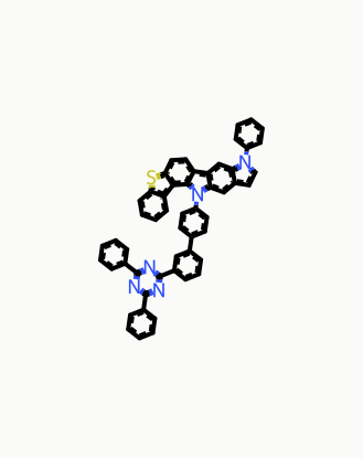 c1ccc(-c2nc(-c3ccccc3)nc(-c3cccc(-c4ccc(-n5c6cc7ccn(-c8ccccc8)c7cc6c6ccc7sc8ccccc8c7c65)cc4)c3)n2)cc1